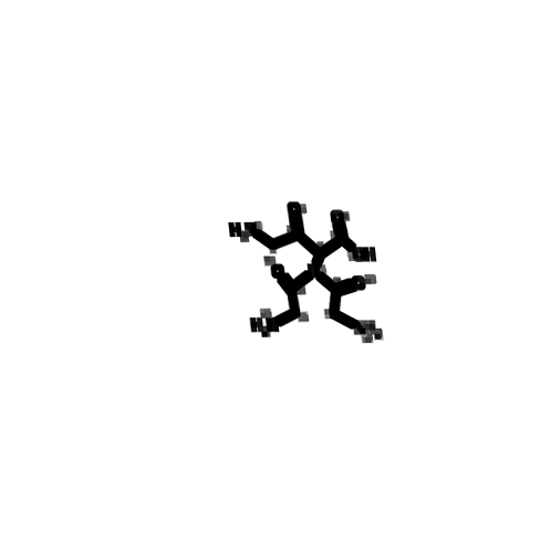 NCC(=O)C(C(=O)O)N(C(=O)CN)C(=O)CN